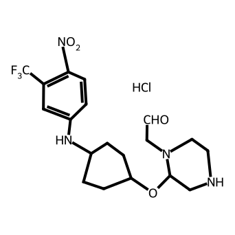 Cl.O=CCN1CCNCC1OC1CCC(Nc2ccc([N+](=O)[O-])c(C(F)(F)F)c2)CC1